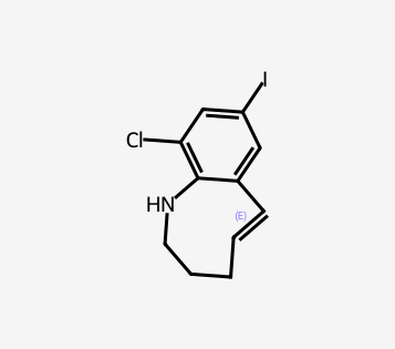 Clc1cc(I)cc2c1NCCC/C=C/2